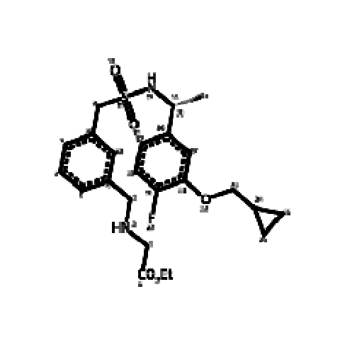 CCOC(=O)CNCc1cccc(CS(=O)(=O)N[C@H](C)c2ccc(F)c(OCC3CC3)c2)c1